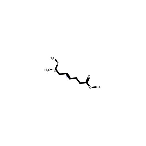 COC(=O)CC/C=C/C[C@H](C)OC